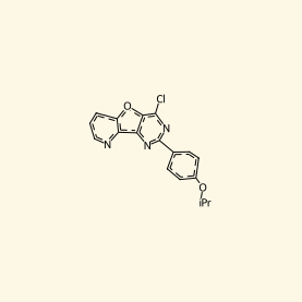 CC(C)Oc1ccc(-c2nc(Cl)c3oc4cccnc4c3n2)cc1